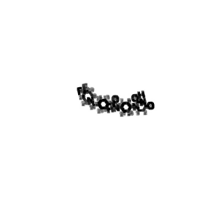 O=C1CCN(c2ccc(NC(=O)c3ccc(CN4CCC(F)(F)CC4)cc3)cc2)C(=O)N1